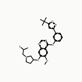 COc1cc2c(Oc3cccc(-c4cc(C(C)(C)C)on4)c3)ncnc2cc1OC1CCN(CC(F)F)C1